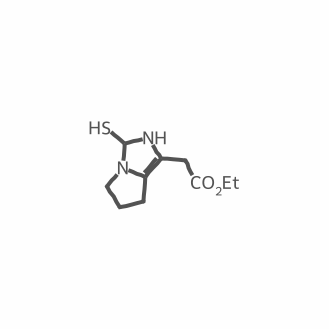 CCOC(=O)CC1=C2CCCN2C(S)N1